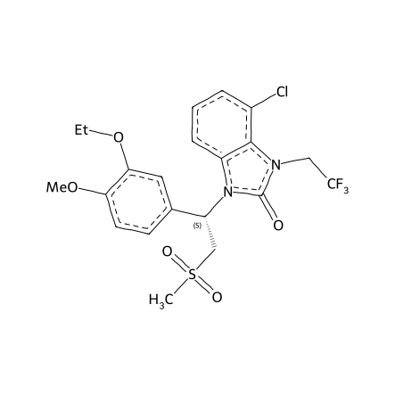 CCOc1cc([C@@H](CS(C)(=O)=O)n2c(=O)n(CC(F)(F)F)c3c(Cl)cccc32)ccc1OC